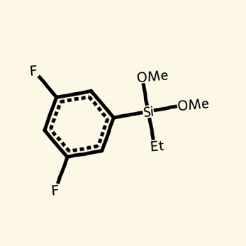 CC[Si](OC)(OC)c1cc(F)cc(F)c1